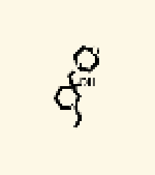 CCN1CCCC(O)(CN2CCOCC2)C1